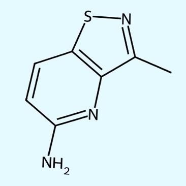 Cc1nsc2ccc(N)nc12